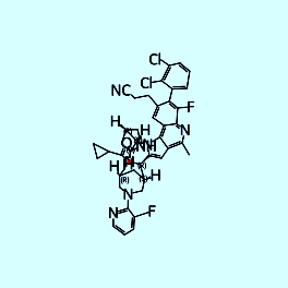 Cc1nc2c(F)c(-c3cccc(Cl)c3Cl)c(CCC#N)cc2c2c1cc([C@H]1[C@H]3C[C@H](CN(c4ncccc4F)C3)N1C(=O)C1CC1)n2[C@H]1[C@H]2CN[C@@H]1C2